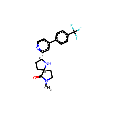 CN1CC[C@]2(CC[C@H](c3cc(-c4ccc(C(F)(F)F)cc4)ccn3)N2)C1=O